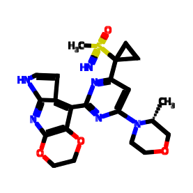 C[C@@H]1COCCN1c1cc(C2(S(C)(=N)=O)CC2)nc(-c2c3c(nc4[nH]ccc24)OCCO3)n1